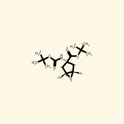 CC(C)(C)OC(=O)N[C@]1(C(=O)OC(C)(C)C)C[C@@H]2O[C@@H]2C1